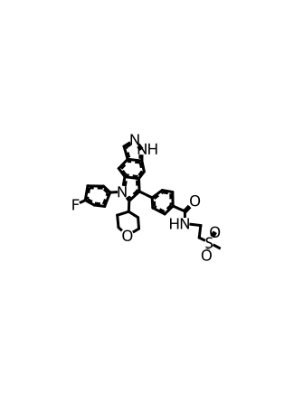 CS(=O)(=O)CCNC(=O)c1ccc(-c2c(C3CCOCC3)n(-c3ccc(F)cc3)c3cc4cn[nH]c4cc23)cc1